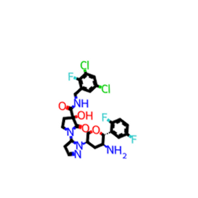 N[C@H]1C[C@@H](N2N=CCC2N2CCC(O)(C(=O)NCc3cc(Cl)cc(Cl)c3F)C2=O)CO[C@@H]1c1cc(F)ccc1F